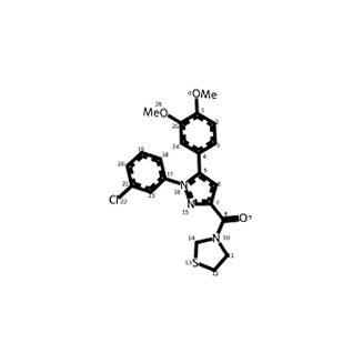 COc1ccc(-c2cc(C(=O)N3CCSC3)nn2-c2cccc(Cl)c2)cc1OC